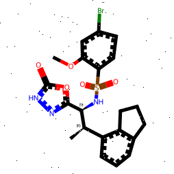 COc1cc(Br)ccc1S(=O)(=O)N[C@H](c1n[nH]c(=O)o1)[C@H](C)c1cccc2c1CCC2